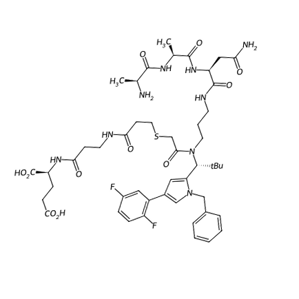 C[C@H](N)C(=O)N[C@@H](C)C(=O)N[C@@H](CC(N)=O)C(=O)NCCCN(C(=O)CSCCC(=O)NCCC(=O)N[C@@H](CCC(=O)O)C(=O)O)[C@@H](c1cc(-c2cc(F)ccc2F)cn1Cc1ccccc1)C(C)(C)C